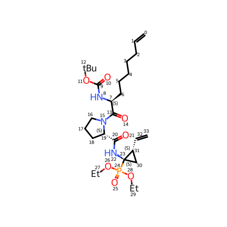 C=CCCCCC[C@H](NC(=O)OC(C)(C)C)C(=O)N1CCC[C@H]1C(=O)N[C@]1(P(=O)(OCC)OCC)C[C@H]1C=C